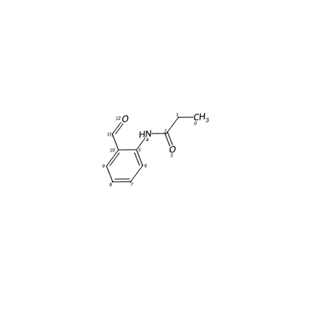 CCC(=O)Nc1ccccc1[C]=O